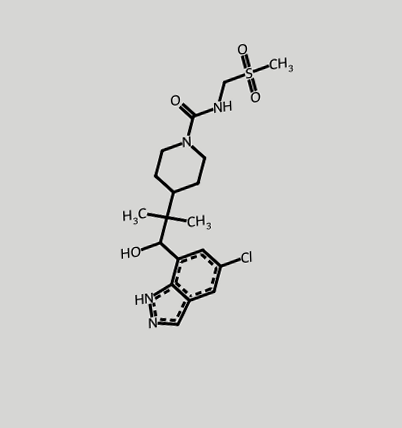 CC(C)(C1CCN(C(=O)NCS(C)(=O)=O)CC1)C(O)c1cc(Cl)cc2cn[nH]c12